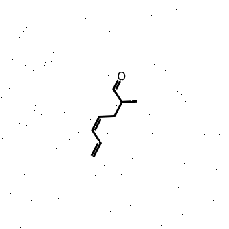 C=C/C=C\CC(C)C=O